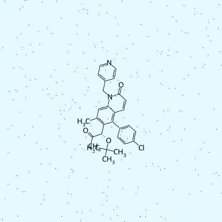 CC(=O)[C@@H](OC(C)(C)C)c1c(C)cc2c(ccc(=O)n2Cc2ccncc2)c1-c1ccc(Cl)cc1